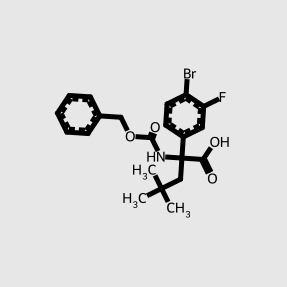 CC(C)(C)CC(NC(=O)OCc1ccccc1)(C(=O)O)c1ccc(Br)c(F)c1